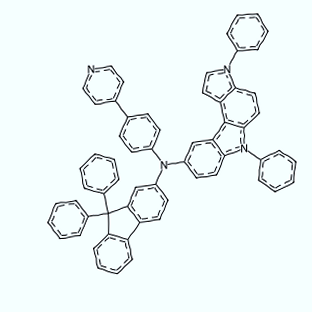 c1ccc(-n2ccc3c4c5cc(N(c6ccc(-c7ccncc7)cc6)c6ccc7c(c6)C(c6ccccc6)(c6ccccc6)c6ccccc6-7)ccc5n(-c5ccccc5)c4ccc32)cc1